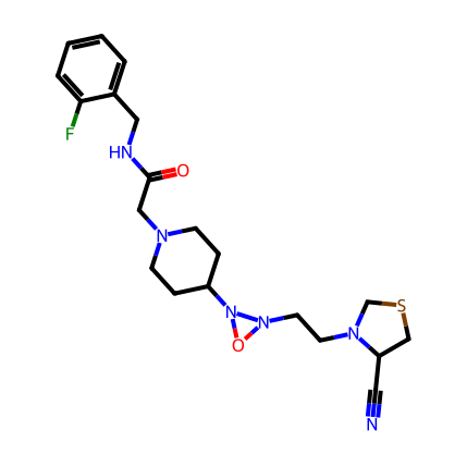 N#CC1CSCN1CCn1on1C1CCN(CC(=O)NCc2ccccc2F)CC1